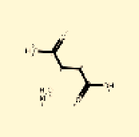 CC(=O)CCC(=O)O.O.[KH]